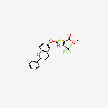 COC(=O)c1sc(Oc2ccc3c(c2)CCC(c2ccccc2)O3)nc1C(F)(F)F